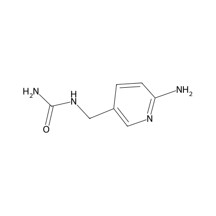 NC(=O)NCc1ccc(N)nc1